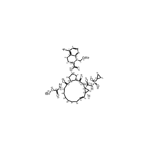 COC[C@@H]1c2cccc(F)c2CCN1C(=O)O[C@@H]1CC2C(=O)N[C@]3(C(=O)NS(=O)(=O)C4CC4)C[C@H]3/C=C/CCCCC[C@H](NC(=O)OC(C)(C)C)C(=O)N2C1